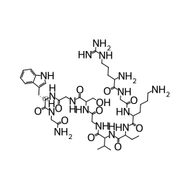 CCC(NC(=O)C(CCCCN)NC(=O)CNC(=O)C(N)CCCNC(=N)N)C(=O)NC(C(=O)NCC(=O)NC(CO)C(=O)NCC(=O)N[C@@H](Cc1c[nH]c2ccccc12)C(=O)NCC(N)=O)C(C)C